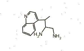 CC(c1ccnc2ccccc12)C(N)CN